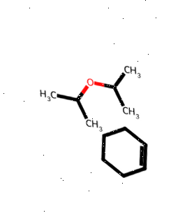 C1=CCCCC1.CC(C)OC(C)C